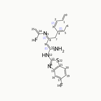 C=C/C=C\C(=C/C)CC(/C=C(\N)Nc1nc2cc(F)ccc2s1)=N/C(=C)F